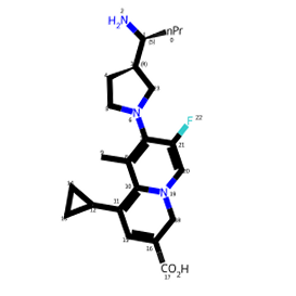 CCC[C@H](N)[C@@H]1CCN(C2=C(C)C3=C(C4CC4)C=C(C(=O)O)CN3C=C2F)C1